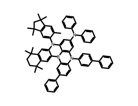 Cc1cc2c(cc1N1c3cc4c(cc3B3c5cc(-c6ccccc6)ccc5N(c5ccc(-c6ccccc6)cc5)c5cc(N(c6ccccc6)c6ccccc6)cc1c53)C(C)(C)CCC4(C)C)C(C)(C)CC2(C)C